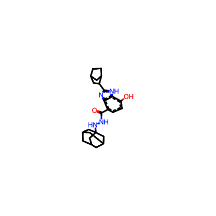 O=C(NNC12CC3CC(CC(C3)C1)C2)c1ccc(O)c2[nH]c(C3CC4CCC3C4)nc12